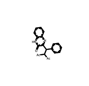 CC(=O)C(C(C)=O)C(c1ccccc1)c1nc2ccccc2[nH]c1=O